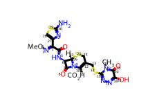 CON=C(C(=O)N[C@@H]1C(=O)N2C(C(=O)O)=C(CSc3nnc(O)c(=O)n3C)CS[C@@H]12)c1csc(N)n1